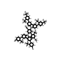 [C-]#[N+]c1ccc(-c2cc(-n3c4ccc(-c5ccc(C(F)(F)F)cc5C(F)(F)F)cc4c4cc(-c5ccc(C(F)(F)F)cc5C(F)(F)F)ccc43)c(C#N)cc2-n2c3ccc(-c4ccc(C)cc4C(F)(F)F)cc3c3cc(-c4ccc(C)cc4C(F)(F)F)ccc32)c(C(F)(F)F)c1